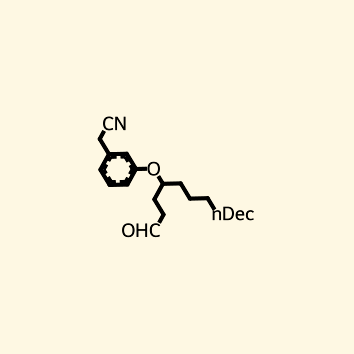 CCCCCCCCCCCCCC(CCC=O)Oc1cccc(CC#N)c1